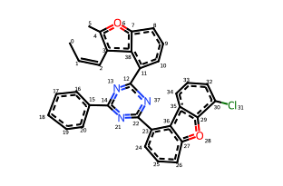 C/C=C\c1c(C)oc2cccc(-c3nc(-c4ccccc4)nc(-c4cccc5oc6c(Cl)cccc6c45)n3)c12